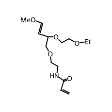 C=CC(=O)NCCOCC(/C=C/OC)OCCOCC